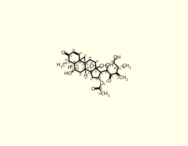 C=C(C(=O)[C@H](O)C1[C@@H](OC(C)=O)C[C@@]2(C)[C@@H]3C[C@@H](O)[C@H]4[C@H](C)C(=O)C=C[C@@]45C[C@@]35CC[C@]12C)[C@@H](C)CO